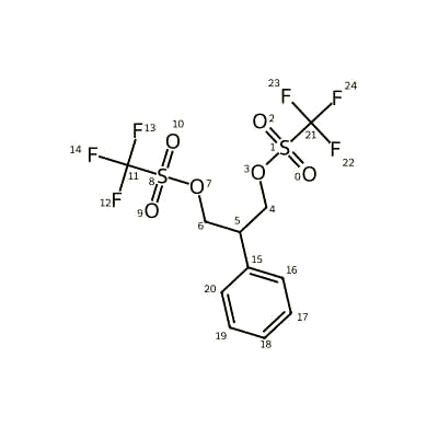 O=S(=O)(OCC(COS(=O)(=O)C(F)(F)F)c1ccccc1)C(F)(F)F